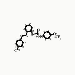 O=C(Nc1ccc(OC(F)(F)F)cc1)Nc1ccccc1C=Cc1ccc(Cl)cc1